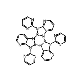 c1cnc(N2B3N(B4N(B5N3c3cccnc3N5c3ncccn3)c3cccnc3N4c3ncccn3)c3cccnc32)nc1